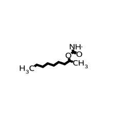 CCCCCCCC(C)OC([NH])=O